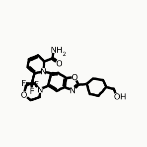 NC(=O)C1C=CC=C(C(F)(F)F)N1c1cc2oc(C3CCC(CO)CC3)nc2cc1N1CCOCC1